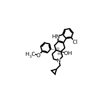 COc1cccc([C@@]23CCN(CC4CC4)C[C@@]2(O)Cc2c([nH]c4cccc(Cl)c24)C3)c1